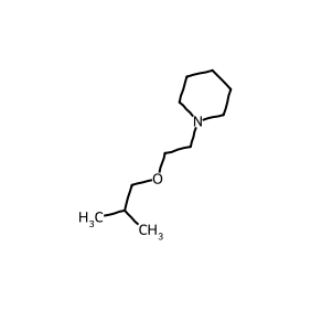 CC(C)COCCN1CCCCC1